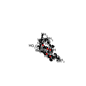 CC[C@H](C)[C@H](NC(=O)[C@@H](N)Cc1ccccc1)C(=O)N[C@@H](CCC(=O)O)C(=O)N[C@@H](Cc1c[nH]c2ccccc12)C(=O)N[C@@H](CC(C)C)C(=O)N[C@@H](CCCCN)C(=O)N[C@@H](CC(N)=O)C(=O)NCC(=O)NCC(=O)N1CCC[C@H]1C(=O)N[C@@H](CO)C(=O)N[C@@H](CO)C(=O)NCC(=O)N[C@@H](C)C(=O)N1CCC[C@H]1C(=O)N1CCC[C@H]1C(=O)N1CCC[C@H]1C(=O)N[C@@H](CO)C(N)=O